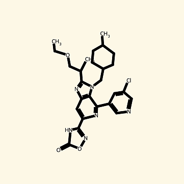 CCOCC(C)c1nc2cc(-c3noc(=O)[nH]3)nc(-c3cncc(Cl)c3)c2n1CC1CCC(C)CC1